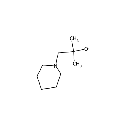 CC(C)([O])CN1CCCCC1